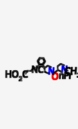 CCCC1C(C(=O)N2CCC(C#N)(c3ccccc3CCCCC(=O)O)CC2)CCCN1C